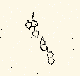 C[C@@H]1CN(c2ccc(C#N)c3nccnc23)C[C@H](CN2Cc3ccc(N4CCN5CCCCC5C4)cc3C2)O1